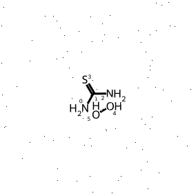 NC(N)=S.OO